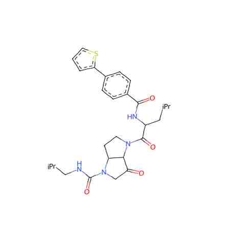 CC(C)CNC(=O)N1CC(=O)C2C1CCN2C(=O)C(CC(C)C)NC(=O)c1ccc(-c2cccs2)cc1